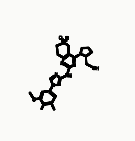 COc1cc(-n2cnc(Nc3nc4c(c(N5CCC[C@H]5CO)n3)CS(=O)(=O)CC4)c2)cc(C)c1C